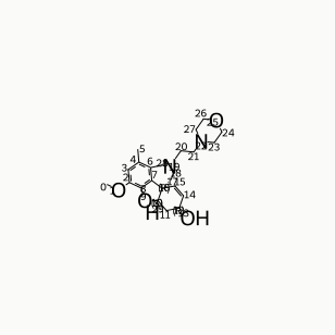 COc1cc(C)c2c3c1O[C@H]1C[C@@H](O)C=C[C@]31CCN(CCN1CCOCC1)C2